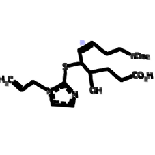 C=CCn1ccnc1SC(/C=C\CCCCCCCCCCCC)C(O)CCC(=O)O